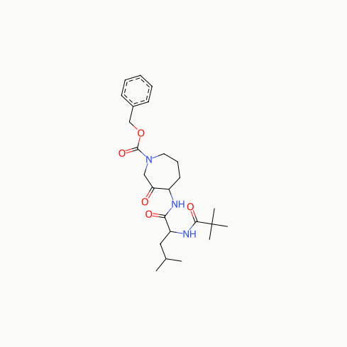 CC(C)CC(NC(=O)C(C)(C)C)C(=O)NC1CCCN(C(=O)OCc2ccccc2)CC1=O